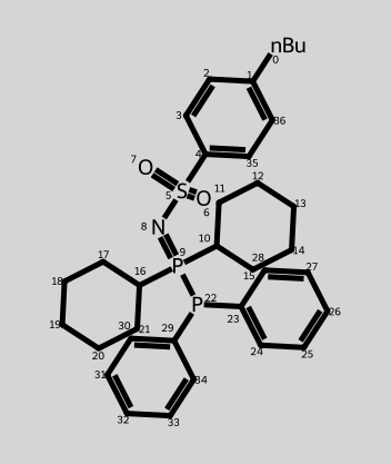 CCCCc1ccc(S(=O)(=O)N=P(C2CCCCC2)(C2CCCCC2)P(c2ccccc2)c2ccccc2)cc1